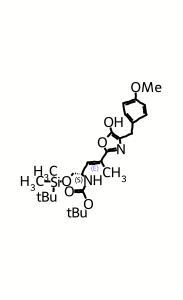 COc1ccc(Cc2nc(/C(C)=C/[C@@H](CO[Si](C)(C)C(C)(C)C)NC(=O)OC(C)(C)C)oc2O)cc1